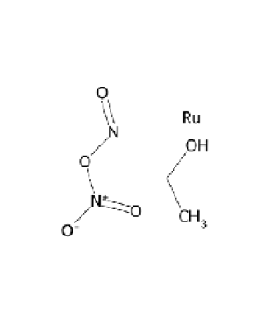 CCO.O=NO[N+](=O)[O-].[Ru]